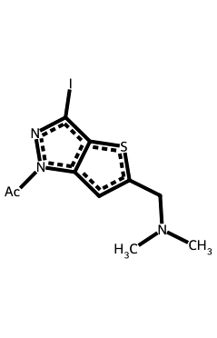 CC(=O)n1nc(I)c2sc(CN(C)C)cc21